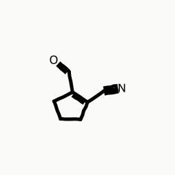 N#CC1=C(C=O)CCC1